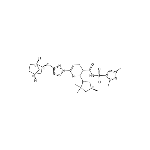 Cc1nn(C)cc1S(=O)(=O)NC(=O)C1CC=C(n2ccc(O[C@H]3C[C@@H]4CC[C@H]3C4)n2)N=C1N1C[C@@H](C)CC1(C)C